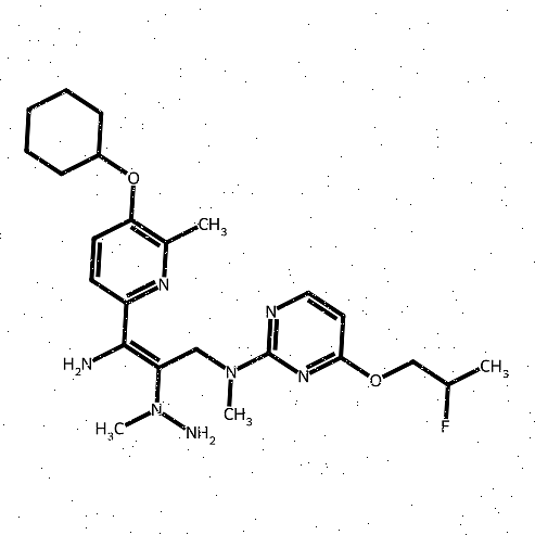 Cc1nc(/C(N)=C(\CN(C)c2nccc(OCC(C)F)n2)N(C)N)ccc1OC1CCCCC1